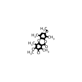 COc1cc(C)c2c(c1C)OC(=O)c1c(C)c(Cl)c(OC)c(C)c1O2